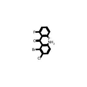 Nc1ccc(Cl)c(Br)c1C(=O)c1c(F)cccc1F